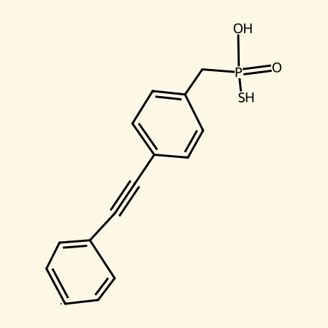 O=P(O)(S)Cc1ccc(C#Cc2cc[c]cc2)cc1